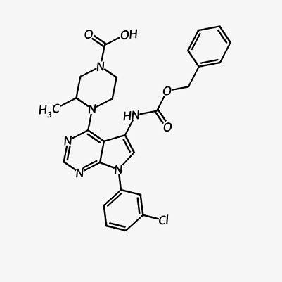 CC1CN(C(=O)O)CCN1c1ncnc2c1c(NC(=O)OCc1ccccc1)cn2-c1cccc(Cl)c1